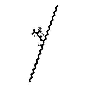 CCCCCCCCCCCCCCCC(=O)OC(CCCCCCCCCCCCCCC)CC(=O)N[C@H](C(=O)O)C(C)C